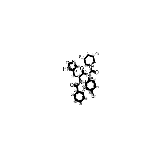 C[C@@H]1C[C@H](C)CN(C(=O)N(C(=O)[C@H](Cc2cnc[nH]2)NC(=O)c2ccccc2)c2ccc(Br)cc2)C1